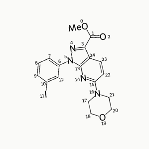 COC(=O)c1nn(-c2cccc(I)c2)c2nc(N3CCOCC3)ccc12